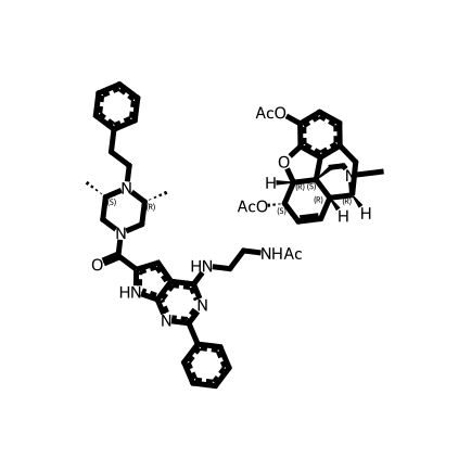 CC(=O)NCCNc1nc(-c2ccccc2)nc2[nH]c(C(=O)N3C[C@@H](C)N(CCc4ccccc4)[C@@H](C)C3)cc12.CC(=O)Oc1ccc2c3c1O[C@H]1[C@@H](OC(C)=O)C=C[C@H]4[C@@H](C2)N(C)CC[C@@]341